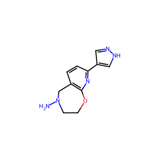 NN1CCOc2nc(-c3cn[nH]c3)ccc2C1